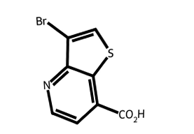 O=C(O)c1ccnc2c(Br)csc12